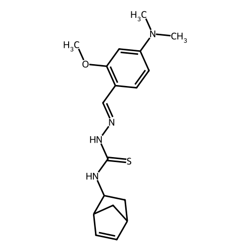 COc1cc(N(C)C)ccc1C=NNC(=S)NC1CC2C=CC1C2